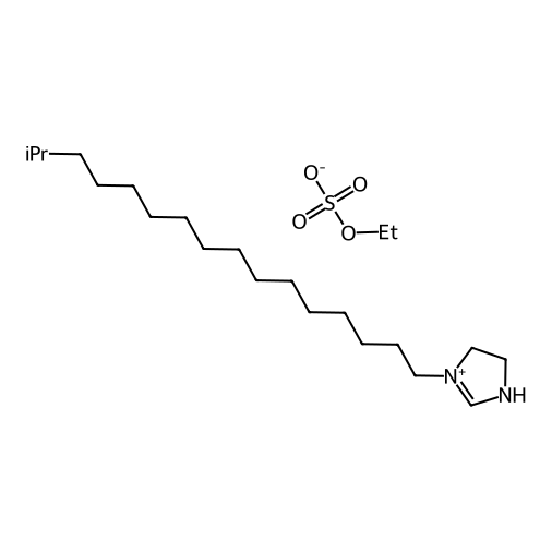 CC(C)CCCCCCCCCCCCCC[N+]1=CNCC1.CCOS(=O)(=O)[O-]